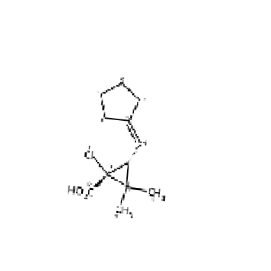 CC1(C)[C@@H](C=C2CCCC2)[C@]1(Cl)C(=O)O